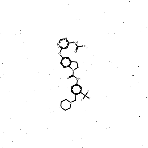 CC(=O)Nc1cc(Oc2ccc3c(c2)CCN3C(=O)Nc2ccc(CN3CCOCC3)c(C(F)(F)F)c2)ncn1